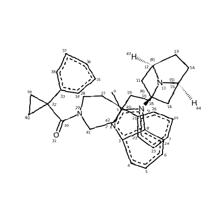 Cc1nc2ccccc2n1[C@H]1C[C@H]2CC[C@@H](C1)N2CCC1(c2ccccc2)CCN(C(=O)C2(c3ccccc3)CC2)CC1